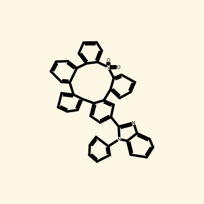 O=S1(=O)c2ccccc2-c2ccccc2-c2ccccc2-c2ccc(-c3nc4ccccc4n3-c3ccccc3)cc2-c2ccccc21